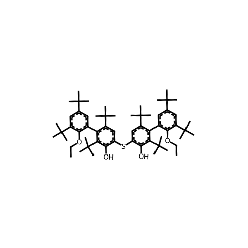 CCOc1c(-c2c(C(C)(C)C)cc(Sc3cc(C(C)(C)C)c(-c4cc(C(C)(C)C)cc(C(C)(C)C)c4OCC)c(C(C)(C)C)c3O)c(O)c2C(C)(C)C)cc(C(C)(C)C)cc1C(C)(C)C